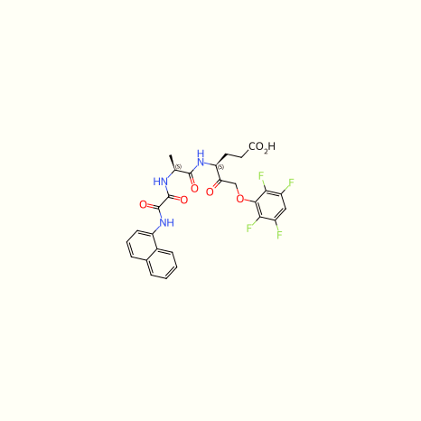 C[C@H](NC(=O)C(=O)Nc1cccc2ccccc12)C(=O)N[C@@H](CCC(=O)O)C(=O)COc1c(F)c(F)cc(F)c1F